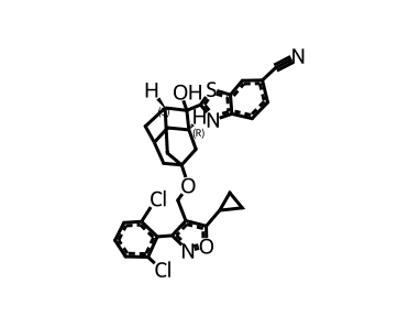 N#Cc1ccc2nc(C3(O)[C@@H]4CC5C[C@H]3CC(OCc3c(-c6c(Cl)cccc6Cl)noc3C3CC3)(C5)C4)sc2c1